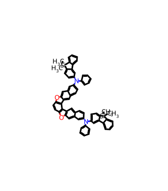 C[Si]1(C)c2ccccc2-c2cc(N(c3ccccc3)c3ccc4cc5c(cc4c3)oc3ccc4oc6cc7cc(N(c8ccccc8)c8ccc9c(c8)-c8ccccc8[Si]9(C)C)ccc7cc6c4c35)ccc21